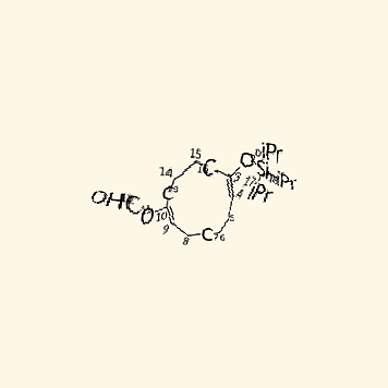 CC(C)[Si](O/C1=C/CCCC/C=C(/OC=O)CCCC1)(C(C)C)C(C)C